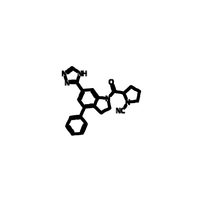 N#CN1CCCC1C(=O)N1CCc2c(-c3ccccc3)cc(-c3nnc[nH]3)cc21